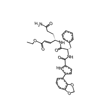 CCOC(=O)/C=C/[C@H](CCC(N)=O)NC(=O)[C@H](Cc1ccccc1)NC(=O)c1ccc(-c2cccc3c2OCO3)[nH]1